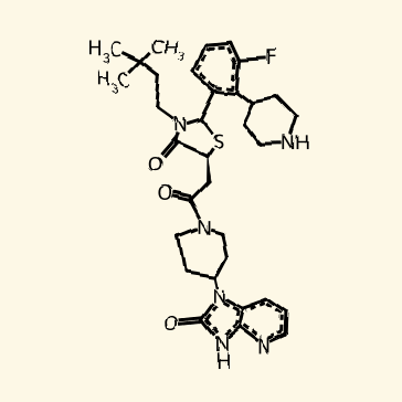 CC(C)(C)CCN1C(=O)[C@H](CC(=O)N2CCC(n3c(=O)[nH]c4ncccc43)CC2)SC1c1cccc(F)c1C1CCNCC1